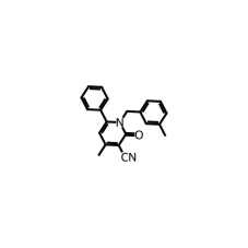 Cc1cccc(Cn2c(-c3ccccc3)cc(C)c(C#N)c2=O)c1